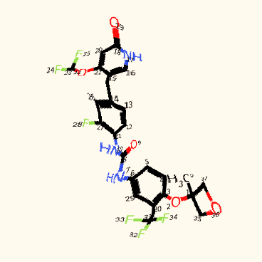 CC1(Oc2ccc(NC(=O)Nc3ccc(-c4c[nH]c(=O)cc4OC(F)F)cc3F)cc2C(F)(F)F)COC1